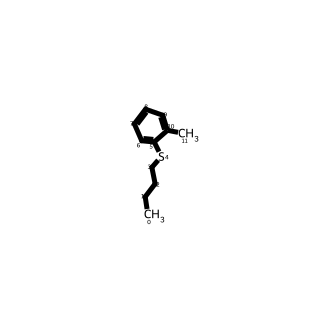 CCCCSc1ccccc1C